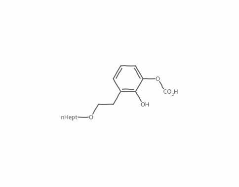 CCCCCCCOCCc1cccc(OC(=O)O)c1O